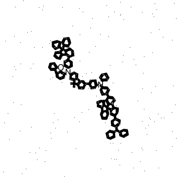 CC1(C)c2ccc(-c3ccc(N(c4ccccc4)c4ccc(-c5ccc6c(c5)C5(c7ccccc7-c7ccccc75)c5cc(-c7ccc(C(c8ccccc8)c8ccccc8)cc7)ccc5-6)cc4)cc3)cc2-c2ccc(N(c3ccc(-c4cccc5c4-c4ccccc4C5(c4ccccc4)c4ccccc4)cc3)c3cccc4c3oc3ccccc34)cc21